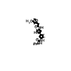 Cc1cc(CC(=O)Nc2cc([C@@H]3CC[C@H](NC(=O)NC(C)C)C3)[nH]n2)on1